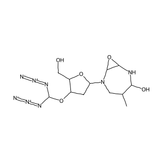 CC1CN(C2CC(OC(N=[N+]=[N-])N=[N+]=[N-])C(CO)O2)C2OC2NC1O